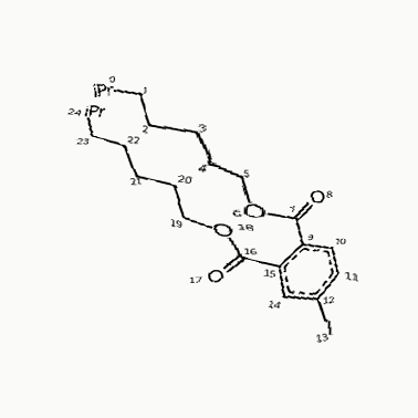 CC(C)CCCCCOC(=O)c1ccc(I)cc1C(=O)OCCCCCC(C)C